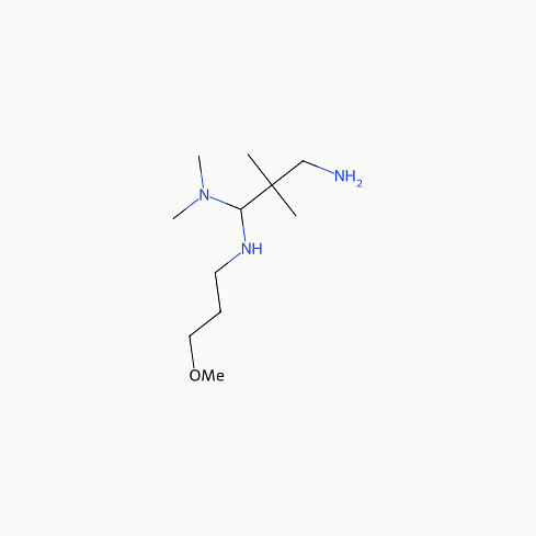 COCCCNC(N(C)C)C(C)(C)CN